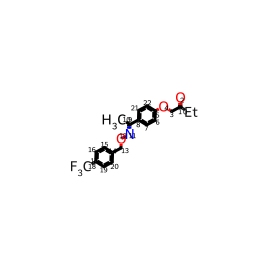 CCC(=O)COc1ccc(C(C)=NOCc2ccc(C(F)(F)F)cc2)cc1